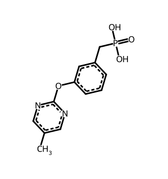 Cc1cnc(Oc2cccc(CP(=O)(O)O)c2)nc1